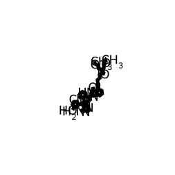 COCCN(CCOC)C(=O)CCCC#Cc1cccc2nc(C(Cn3nc(-c4cccc(O)c4)c4c(N)ncnc43)c3cccc(Cl)c3)[nH]c(=O)c12